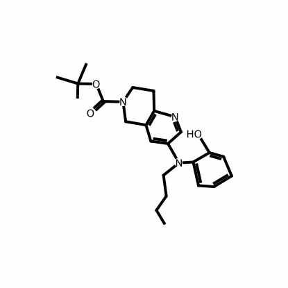 CCCCN(c1cnc2c(c1)CN(C(=O)OC(C)(C)C)CC2)c1ccccc1O